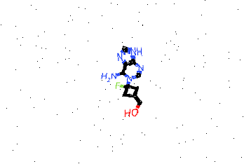 NC1c2nc[nH]c2N=CN1C1(F)CC(CO)C1